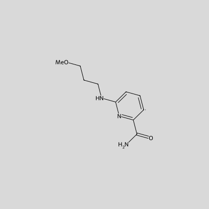 COCCCNc1cc[c]c(C(N)=O)n1